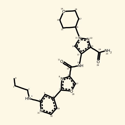 CCCNc1cc(-c2nc(C(=O)Nc3cn(C4CCOCC4)nc3C(N)=O)co2)ccn1